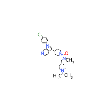 CC(C)N1CCC(CN(C)C(=O)N2CCC(c3cn(-c4ccc(Cl)cc4)c4cnccc34)CC2)CC1